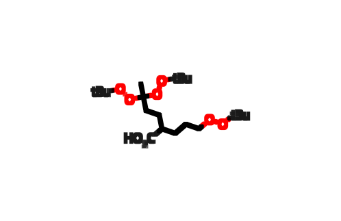 CC(C)(C)OOCCCC(CCC(C)(OOC(C)(C)C)OOC(C)(C)C)C(=O)O